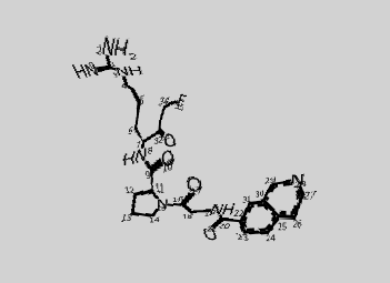 N=C(N)NCCC[C@H](NC(=O)[C@@H]1CCCN1C(=O)CNC(=O)c1ccc2ccncc2c1)C(=O)CF